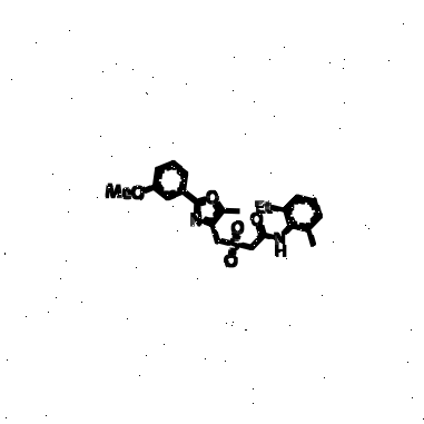 CCc1cccc(C)c1NC(=O)CS(=O)(=O)Cc1nc(-c2cccc(OC)c2)oc1C